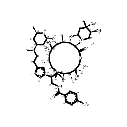 CC[C@H]1OC(=O)[C@H](C)[C@@H](O[C@H]2C[C@@](C)(OC)[C@@H](O)[C@H](C)O2)[C@H](C)[C@@H](O[C@@H]2O[C@H](C)C[C@H](N(C)CCc3cn(C(CF)CNC(=O)c4ccc([N+](=O)[O-])cc4)nn3)[C@H]2O)[C@](C)(O)C[C@@H](C)CN(C)[C@H](C)[C@@H](O)[C@]1(C)O